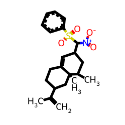 C=C(C)C1CCC2=CC(C([N+](=O)[O-])S(=O)(=O)c3ccccc3)CC(C)C2(C)C1